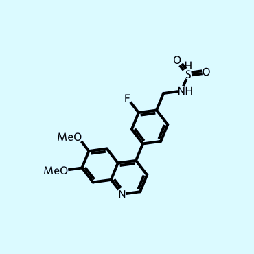 COc1cc2nccc(-c3ccc(CN[SH](=O)=O)c(F)c3)c2cc1OC